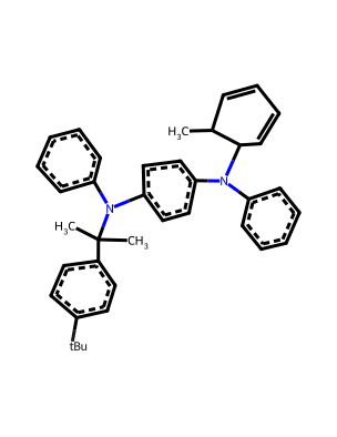 CC1C=CC=CC1N(c1ccccc1)c1ccc(N(c2ccccc2)C(C)(C)c2ccc(C(C)(C)C)cc2)cc1